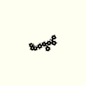 c1ccc(-c2nc3cc4c5ccc(-c6ccc(-c7ccc8ccc9cccnc9c8n7)cc6)cc5n(-c5ccccc5)c4cc3c3ccccc23)cc1